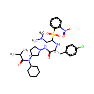 CC(C)C(=O)N(C1CCCCC1)[C@H]1CCN(NC(=O)[C@@H](Cc2ccc(Cl)cc2)NC(CN(C)C)S(=O)(=O)c2ccccc2[N+](=O)[O-])C1